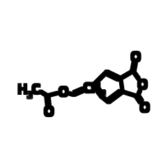 C=COC(C)=O.O=C1OC(=O)c2ccccc21